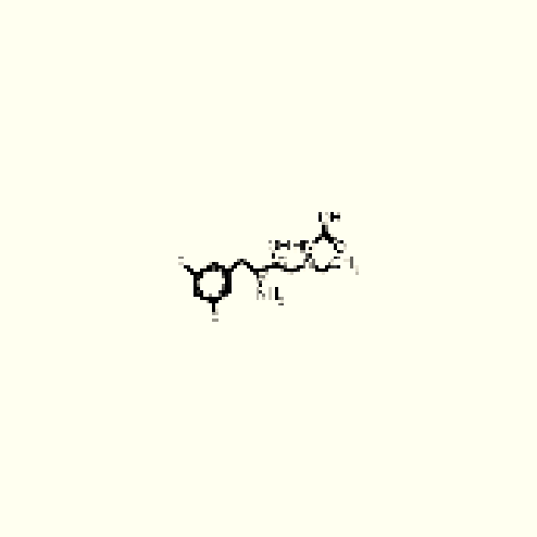 CCN(C[C@H](O)[C@@H](N)Cc1cc(F)cc(F)c1)NC(=O)O